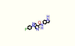 O=C(Nc1ccc2[nH]ccc2c1)c1cncc2c1cnn2-c1ccc(F)cc1